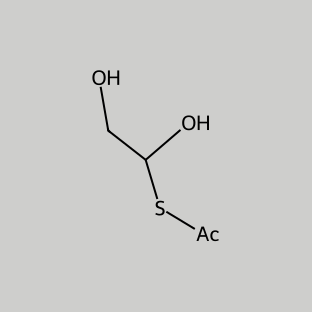 CC(=O)SC(O)CO